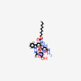 CCCCCCCCCOC(=O)N(C)C(Cc1c[nH]c2ccccc12)C(=O)NC(CC(N)=O)C(=O)NC(CC(=O)O)C(=O)NC(C)C